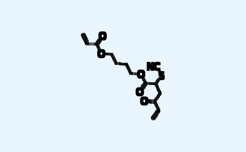 C=CC(=O)CC(SC#N)C(=O)OCCCCOC(=O)C=C